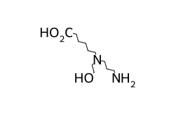 NCCCN(CCO)CCCCCC(=O)O